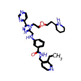 CCc1cnccc1CNC(=O)c1cccc(NCc2nnc(-c3ccncn3)n2CCOCCC2CCCCN2)c1